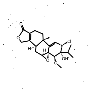 CO[C@H]1[C@]23O[C@H]2C[C@H]2C4=C(CC[C@]2(C)C3=C[C@@H](Cl)[C@@]1(O)C(C)C)C(=O)OC4